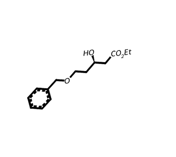 CCOC(=O)C[C@H](O)CCOCc1ccccc1